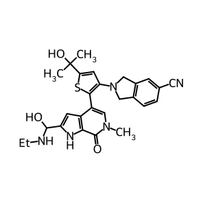 CCNC(O)c1cc2c(-c3sc(C(C)(C)O)cc3N3Cc4ccc(C#N)cc4C3)cn(C)c(=O)c2[nH]1